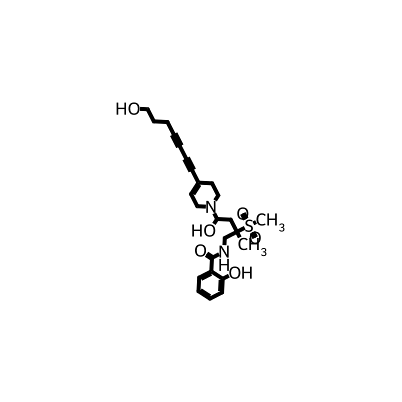 CC(CNC(=O)c1ccccc1O)(CC(O)N1CC=C(C#CC#CCCCO)CC1)S(C)(=O)=O